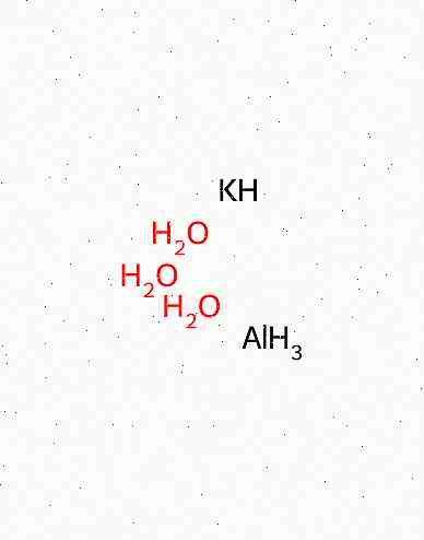 O.O.O.[AlH3].[KH]